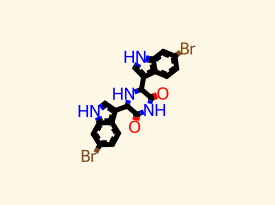 O=C1NC(=O)C(c2c[nH]c3cc(Br)ccc23)NC1c1c[nH]c2cc(Br)ccc12